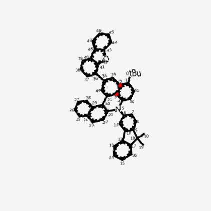 CC(C)(C)c1ccc(N(c2ccc3c(c2)-c2ccccc2C3(C)C)c2ccc3ccccc3c2-c2cccc(-c3cccc4c3oc3ccccc34)c2)cc1